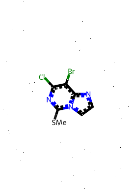 CSc1nc(Cl)c(Br)c2nccn12